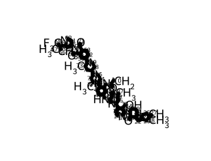 C=CC(=O)Nc1cc(Nc2nc(-c3ccnc(N4CCn5c(cc6c5CC(C)(C)C6)C4=O)c3CO)cn(C)c2=O)ccc1N1CCN(C2CCN(c3ccc4c(c3)C(=O)N(c3ccnc(C(C)(C)C(F)(F)F)c3)C4=O)[C@H](C)C2)C[C@@H]1C